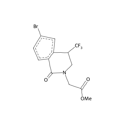 COC(=O)CN1CC(C(F)(F)F)c2cc(Br)ccc2C1=O